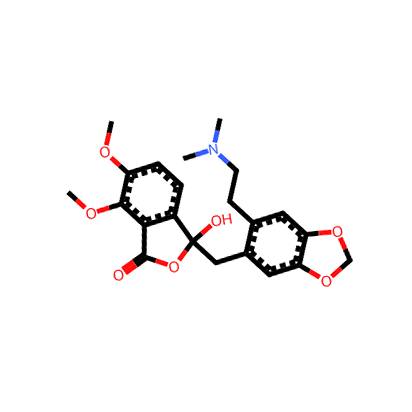 COc1ccc2c(c1OC)C(=O)OC2(O)Cc1cc2c(cc1CCN(C)C)OCO2